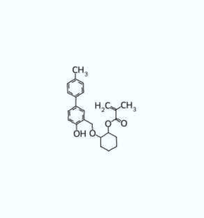 C=C(C)C(=O)OC1CCCCC1OCc1cc(-c2ccc(C)cc2)ccc1O